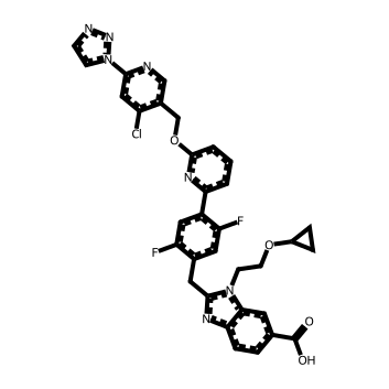 O=C(O)c1ccc2nc(Cc3cc(F)c(-c4cccc(OCc5cnc(-n6ccnn6)cc5Cl)n4)cc3F)n(CCOC3CC3)c2c1